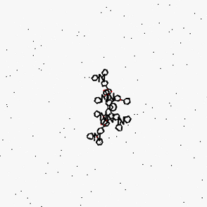 c1ccc(-c2ccc3c(c2)c2c4oc5c(cc(N(c6ccccc6)c6ccccc6)c6c5c5ccc(N(c7ccccc7)c7ccccc7)cc5n6-c5ccc(-c6ccc(N(c7ccccc7)c7ccccc7)cc6)cc5)c4cc(N(c4ccccc4)c4ccccc4)c2n3-c2ccc(-c3ccc(N(c4ccccc4)c4ccccc4)cc3)cc2)cc1